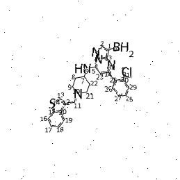 Bc1cnn2c(NC3CCN(Cc4csc5ccccc45)CC3)cc(-c3ccccc3Cl)nc12